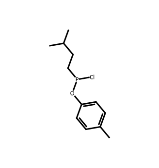 Cc1ccc(OP(Cl)CCC(C)C)cc1